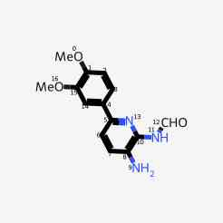 COc1ccc(-c2ccc(N)c(NC=O)n2)cc1OC